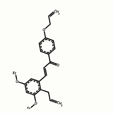 C=CCOc1ccc(C(=O)/C=C/c2cc(OCC)cc(OCC)c2CC=C)cc1